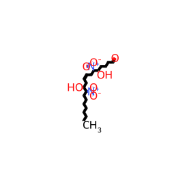 CCCCCCCCC(C(O)C/C=C\CC(C(O)CCCC=O)[N+](=O)[O-])[N+](=O)[O-]